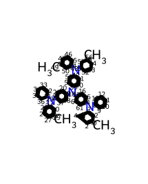 CC1=CC2CC2C(N(c2ccccc2)c2ccc(N(c3ccc(N(c4cccc(C)c4)C4C=CC=CC4)cc3)c3ccc(N(c4cccc(C)c4)C4C=CCC(C)C4)cc3)cc2)=C1